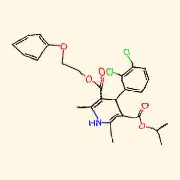 CC1=C(C(=O)OCCOc2ccccc2)C(c2cccc(Cl)c2Cl)C(C(=O)OC(C)C)=C(C)N1